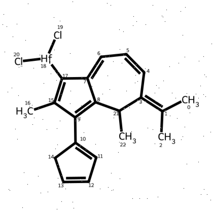 CC(C)=C1C=CC=C2C(=C(C3=CC=CC3)C(C)=[C]2[Hf]([Cl])[Cl])C1C